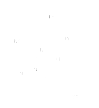 CCC(CNc1c(C#N)cnn1-c1ccc(C(F)(F)F)cc1Cl)C(C)C